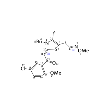 CCCCN1C(C)=C(C/C=N/OC)S/C1=C\C(=O)c1cc(Cl)ccc1OC